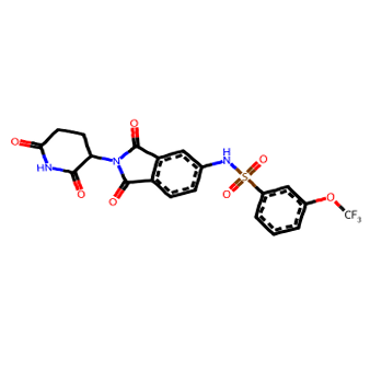 O=C1CCC(N2C(=O)c3ccc(NS(=O)(=O)c4cccc(OC(F)(F)F)c4)cc3C2=O)C(=O)N1